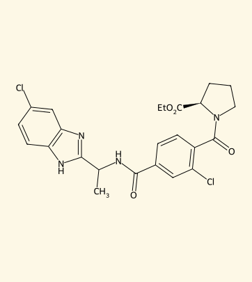 CCOC(=O)[C@H]1CCCN1C(=O)c1ccc(C(=O)NC(C)c2nc3cc(Cl)ccc3[nH]2)cc1Cl